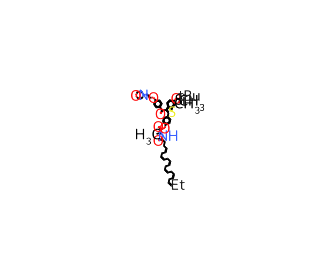 CC/C=C\C/C=C\C/C=C\C/C=C\C/C=C\C/C=C\CCC(=O)NC(C)C(=O)Oc1ccc(-c2sc3cc(O[Si](C)(C)C(C)(C)C)ccc3c2C(=O)c2ccc(OCCN3CCOCC3)cc2)cc1